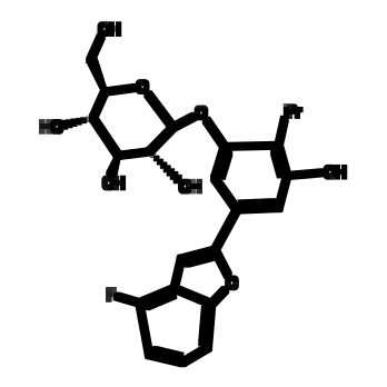 CC(C)c1c(O)cc(-c2cc3c(F)cccc3o2)cc1OC1O[C@H](CO)[C@@H](O)[C@H](O)[C@H]1O